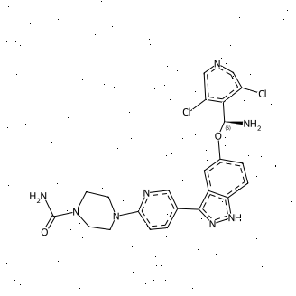 NC(=O)N1CCN(c2ccc(-c3n[nH]c4ccc(O[C@H](N)c5c(Cl)cncc5Cl)cc34)cn2)CC1